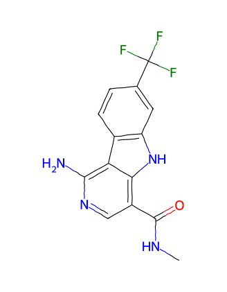 CNC(=O)c1cnc(N)c2c1[nH]c1cc(C(F)(F)F)ccc12